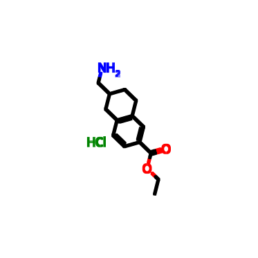 CCOC(=O)c1ccc2c(c1)CCC(CN)C2.Cl